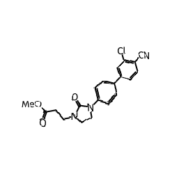 COC(=O)CCN1CCN(c2ccc(-c3ccc(C#N)c(Cl)c3)cc2)C1=O